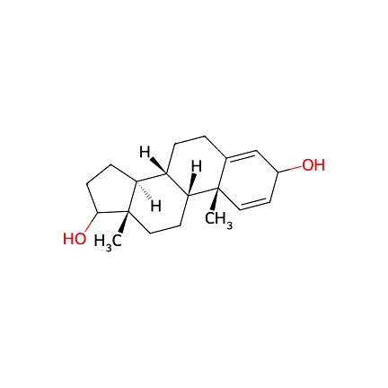 C[C@]12C=CC(O)C=C1CC[C@@H]1[C@H]2CC[C@]2(C)C(O)CC[C@@H]12